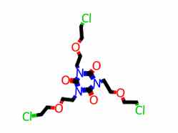 O=c1n(CCOCCCl)c(=O)n(CCOCCCl)c(=O)n1CCOCCCl